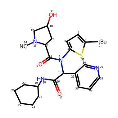 CC(C)(C)c1ccc(N(C(=O)C2CC(O)CN2C#N)C(C(=O)NC2CCCCC2)c2cccnc2)s1